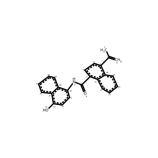 C=C(C)c1ccc(C(=O)Nc2ccc(O)c3ccccc23)c2ccccc12